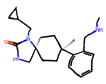 CNCc1ccccc1[C@]1(C)CC[C@]2(CC1)CNC(=O)N2CC1CC1